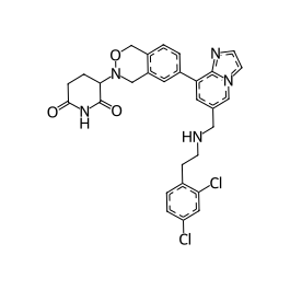 O=C1CCC(N2Cc3cc(-c4cc(CNCCc5ccc(Cl)cc5Cl)cn5ccnc45)ccc3CO2)C(=O)N1